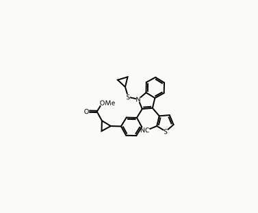 COC(=O)C1CC1c1cccc(-c2c(-c3ccsc3C#N)c3ccccc3n2SC2CC2)c1